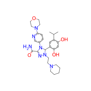 CC(C)c1cc(C2N(CCN3CCCCC3)N=C(C(N)=O)N2c2ccc(N3CCOCC3)nc2)c(O)cc1O